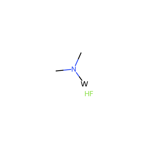 C[N](C)[W].F